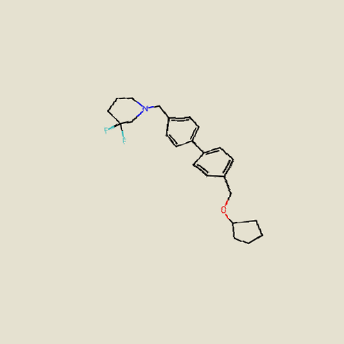 FC1(F)CCCN(Cc2ccc(-c3ccc(COC4CCCC4)cc3)cc2)C1